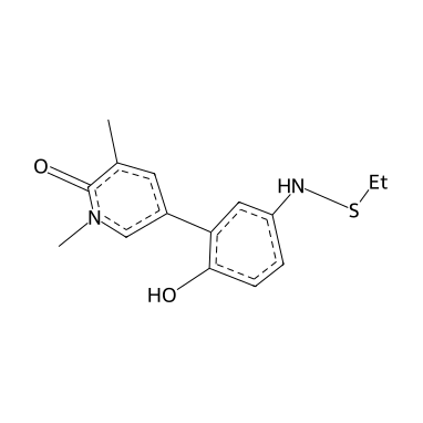 CCSNc1ccc(O)c(-c2cc(C)c(=O)n(C)c2)c1